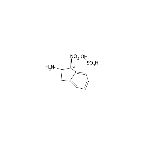 NC1Cc2ccccc2[C@@H]1[N+](=O)[O-].O=S(=O)(O)O